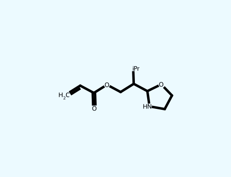 C=CC(=O)OCC(C(C)C)C1NCCO1